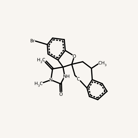 C=C1N(C)C(=O)NC12c1cc(Br)ccc1OC21CCc2ccccc2C(C)C1